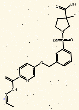 C=C(N/N=C\C)c1ccc(OCc2cccc(S(=O)(=O)N3CCC(F)(C(=O)O)C3)c2)cn1